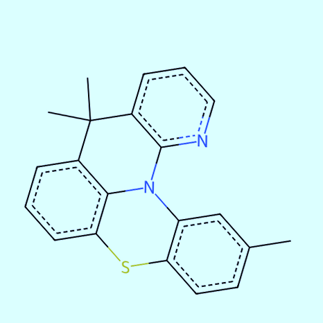 Cc1ccc2c(c1)N1c3ncccc3C(C)(C)c3cccc(c31)S2